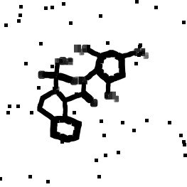 CCCCCCCCS(=O)(=O)N1CCc2ccccc2C1C(=O)Nc1c(C)cc(C)cc1C